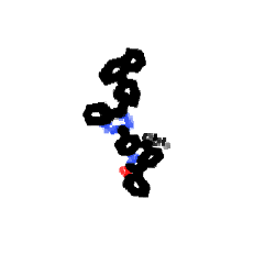 CC1(C)c2cc(-c3nc(-c4cccc(-c5cccc6ccccc56)c4)c4ccccc4n3)ccc2-n2c3oc4ccccc4c3c3cccc1c32